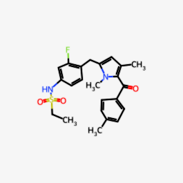 CCS(=O)(=O)Nc1ccc(Cc2cc(C)c(C(=O)c3ccc(C)cc3)n2C)c(F)c1